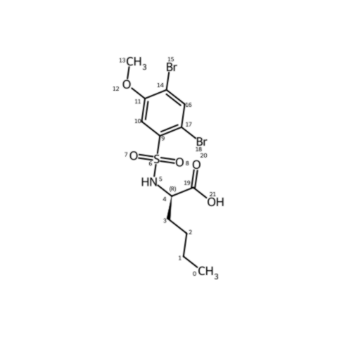 CCCC[C@@H](NS(=O)(=O)c1cc(OC)c(Br)cc1Br)C(=O)O